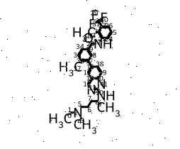 CCN(CC)CCC[C@@H](C)Nc1ncc2cc(-c3cc(C(=O)Nc4cccc(C(F)(F)F)c4C)ccc3C)ccc2n1